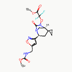 CC(C)(C)OC(=O)NCc1cc([C@@H]2CC3(CC3)[C@H]3CN2C(=O)N3OC(F)(F)C(=O)OC(C)(C)C)no1